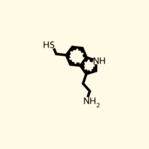 NCCc1c[nH]c2ccc(CS)cc12